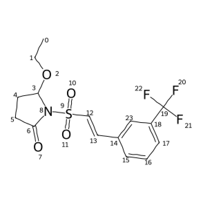 CCOC1CCC(=O)N1S(=O)(=O)C=Cc1cccc(C(F)(F)F)c1